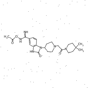 CC(=O)ONC(=N)c1ccc2c(c1)[nH]c(=O)n2C1CCN(CC(=O)N2CCC(C)(C)CC2)CC1